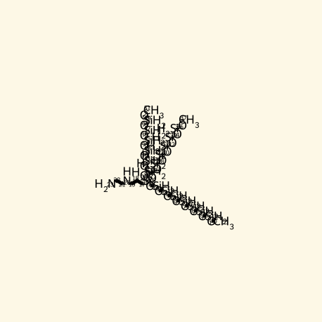 CO[SiH2]O[SiH2]O[SiH2]O[SiH2]O[SiH2]O[SiH2]O[SiH2]O[Si](CCCNCCN)(O[SiH2]O[SiH2]O[SiH2]O[SiH2]O[SiH2]O[SiH2]OC)O[SiH2]O[SiH2]O[SiH2]O[SiH2]O[SiH2]O[SiH2]OC